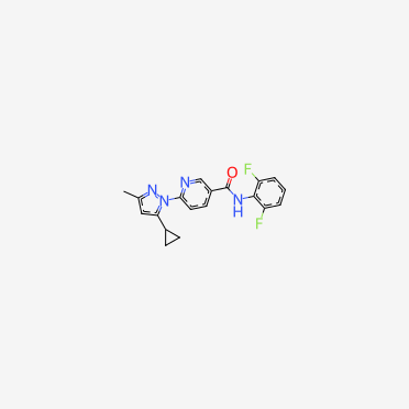 Cc1cc(C2CC2)n(-c2ccc(C(=O)Nc3c(F)cccc3F)cn2)n1